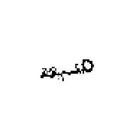 CC(S)CC(=O)NCCCCC(=O)OC1CCCCCCC1